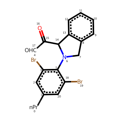 CCCc1cc(Br)c(N2Cc3ccccc3C2C(=O)C=O)c(Br)c1